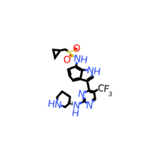 O=S(=O)(CC1CC1)Nc1cccc2c(-c3nc(N[C@H]4CCCNC4)ncc3C(F)(F)F)c[nH]c12